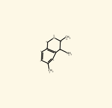 Cc1ccc2c(c1)C(N)C(C)OC2